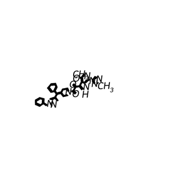 COc1cnc(-n2cnc(C)n2)c2[nH]cc(C(=O)C(=O)N3CCC(=C(c4ccccc4)c4cnn(Cc5ccccc5)c4)CC3)c12